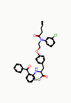 C=CCCC(=O)N(CCOc1ccc(CC(Nc2ccccc2C(=O)c2ccccc2)C(=O)OC)cc1)c1cccc(Cl)c1